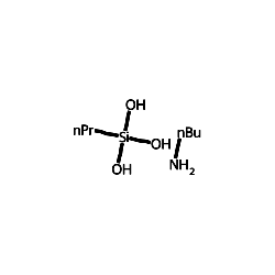 CCCCN.CCC[Si](O)(O)O